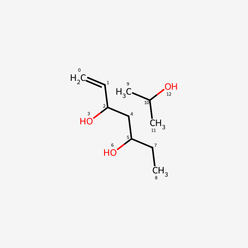 C=CC(O)CC(O)CC.CC(C)O